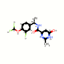 Cc1nc(C(=O)N[C@@H](c2ccc(OC(F)F)c(F)c2)C(C)C)cc(=O)[nH]1